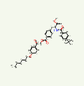 C=C(OC)[C@H](Cc1ccc(C(=O)OCC(=O)c2ccc(OCCCCCCC)cc2)cc1)NC(=O)c1ccc(C(C)(C)C)cc1